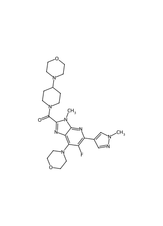 Cn1cc(-c2nc3c(nc(C(=O)N4CCC(N5CCOCC5)CC4)n3C)c(N3CCOCC3)c2F)cn1